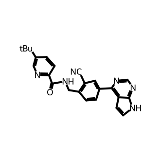 CC(C)(C)c1ccc(C(=O)NCc2ccc(-c3ncnc4[nH]ccc34)cc2C#N)nc1